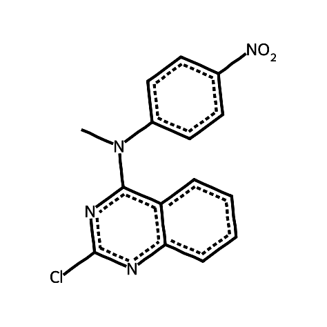 CN(c1ccc([N+](=O)[O-])cc1)c1nc(Cl)nc2ccccc12